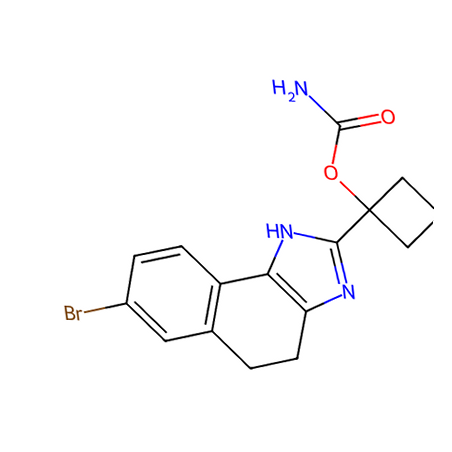 NC(=O)OC1(c2nc3c([nH]2)-c2ccc(Br)cc2CC3)CCC1